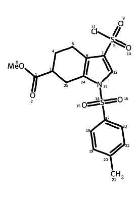 COC(=O)C1CCc2c(S(=O)(=O)Cl)cn(S(=O)(=O)c3ccc(C)cc3)c2C1